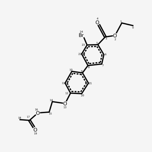 CCOC(=O)c1ccc(-c2ccc(OCCOC(C)=O)cc2)cc1Br